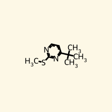 CSc1nccc(C(C)(C)C)n1